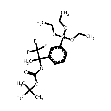 CCO[Si](OCC)(OCC)c1cccc(C(C)(OC(=O)OC(C)(C)C)C(F)(F)F)c1